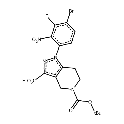 CCOC(=O)c1nn(-c2ccc(Br)c(F)c2[N+](=O)[O-])c2c1CN(C(=O)OC(C)(C)C)CC2